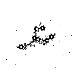 COc1ccccc1-c1nccc(COc2ccc(CCC(O)COS(=O)(=O)c3ccc(C)cc3)cc2CC(Oc2ncnc3sc(-c4ccc(F)cc4)c(Br)c23)C(=O)O)n1